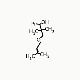 CC(C)=CCOCC(C)(C)C(O)C(C)C